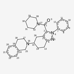 O=C(c1c2c(nn1-c1ccccc1)CCC(N1CCc3ccccc3C1)C2)N1CCCCC1